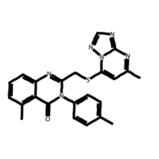 Cc1ccc(-n2c(CSc3cc(C)nc4ncnn34)nc3cccc(C)c3c2=O)cc1